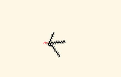 CCCCCCCCCCCCc1ccc(O)c(CCCCCCCCC)c1CCCCCCCCCCCC